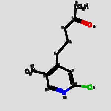 O=C(O)C(=O)CCCc1cc(Cl)ncc1[N+](=O)[O-]